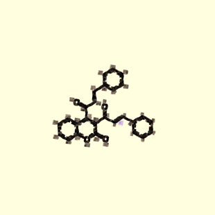 O=C(/C=C/c1ccccc1)c1c(C(=O)C=Cc2ccccc2)c2ccccc2oc1=O